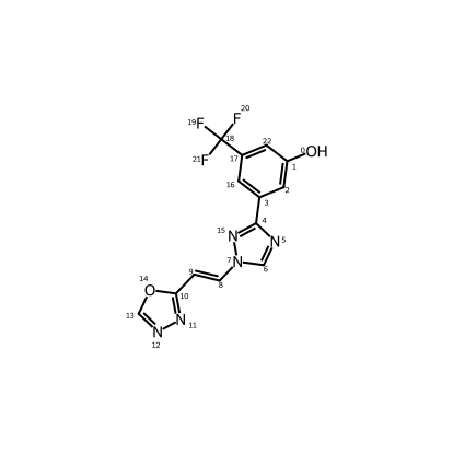 Oc1cc(-c2ncn(C=Cc3nnco3)n2)cc(C(F)(F)F)c1